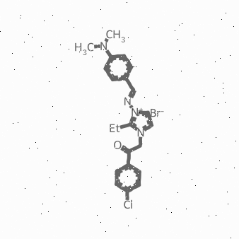 CCc1n(CC(=O)c2ccc(Cl)cc2)cc[n+]1/N=C/c1ccc(N(C)C)cc1.[Br-]